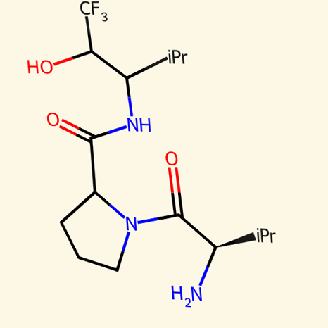 CC(C)C(NC(=O)C1CCCN1C(=O)[C@H](N)C(C)C)C(O)C(F)(F)F